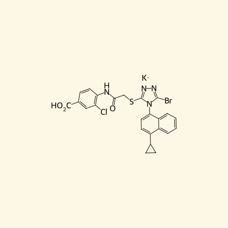 O=C(CSc1nnc(Br)n1-c1ccc(C2CC2)c2ccccc12)Nc1ccc(C(=O)O)cc1Cl.[K]